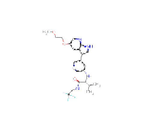 COCCOc1cnc2[nH]cc(-c3cncc(NC(C(=O)NCC(F)(F)F)C(C)C)c3)c2c1